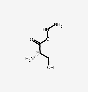 NNOC(=O)[C@@H](N)CO